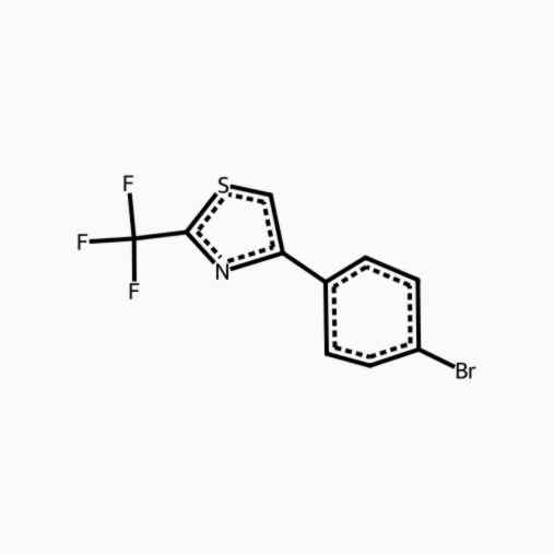 FC(F)(F)c1nc(-c2ccc(Br)cc2)cs1